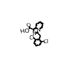 O=C(O)c1nc(Cc2c(Cl)cccc2Cl)n2ccccc12